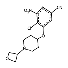 N#Cc1cc(OC2CCN(C3COC3)CC2)c(Cl)c([N+](=O)[O-])c1